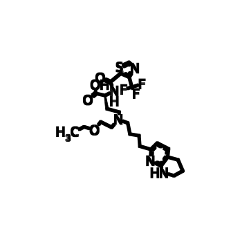 CCOCCN(CCCCc1ccc2c(n1)NCCC2)CC[C@H](NC(=O)c1scnc1C(F)(F)F)C(=O)O